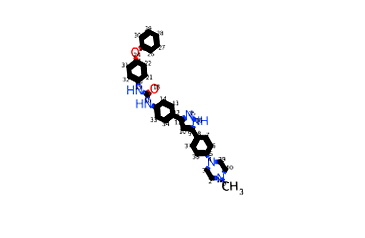 CN1CCN(c2ccc(-c3cc(-c4ccc(NC(=O)Nc5ccc(Oc6ccccc6)cc5)cc4)n[nH]3)cc2)CC1